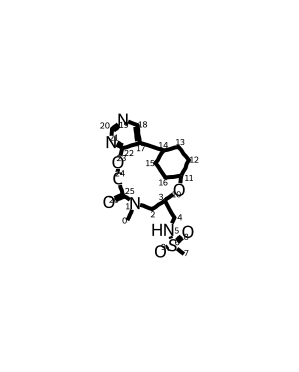 CN1CC(CNS(C)(=O)=O)OC2CCC(CC2)c2cncnc2OCC1=O